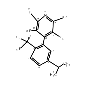 CC(C)c1ccc(C(F)(F)F)c(-c2c(F)c(F)nc(F)c2F)c1